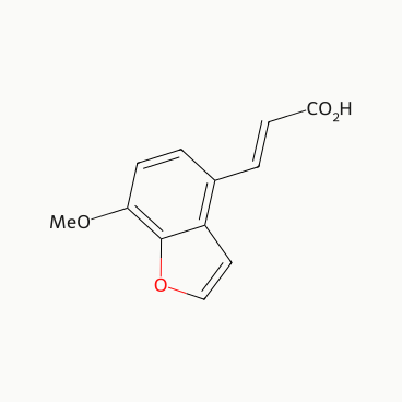 COc1ccc(/C=C/C(=O)O)c2ccoc12